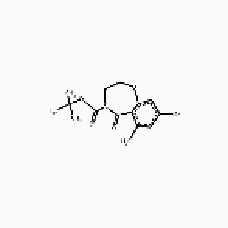 Cc1cc(Br)cc2c1C(=O)N(C(=O)OC(C)(C)C)CCO2